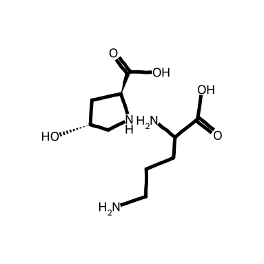 NCCCC(N)C(=O)O.O=C(O)[C@@H]1C[C@@H](O)CN1